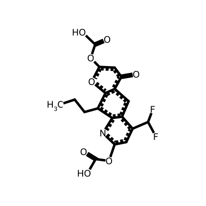 CCCc1c2nc(OC(=O)O)cc(C(F)F)c2cc2c(=O)cc(OC(=O)O)oc12